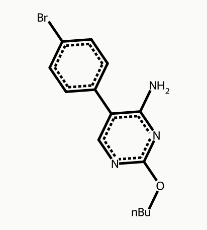 CCCCOc1ncc(-c2ccc(Br)cc2)c(N)n1